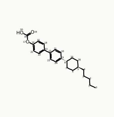 CCCCC[C@H]1CC[C@H](c2ccc(-c3ccc(OC(=O)O)cc3)cc2)CC1